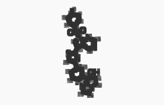 Cc1ccc(S(=O)(=O)n2cc(-c3nc(-c4cccc(C5(O)CCn6ccnc65)c4)cs3)c3cncnc32)cc1